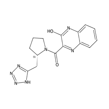 O=C(c1nc2ccccc2nc1O)N1CCC[C@H]1Cc1nnn[nH]1